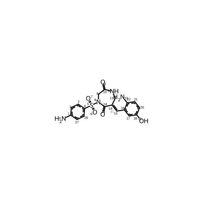 Nc1ccc(S(=O)(=O)N2CC(=O)NC/C(=C\c3cc(O)ccc3N)C2=O)cc1